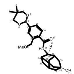 COCc1cc(B2OCC(C)(C)CO2)ccc1C(=O)N[C@H]1C2CC3CC1C[C@](O)(C3)C2